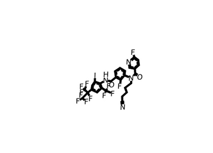 N#CCCCCN(C(=O)c1ccc(F)nc1)c1cccc(C(=O)Nc2c(I)cc(C(F)(C(F)(F)F)C(F)(F)F)cc2C(F)(F)F)c1F